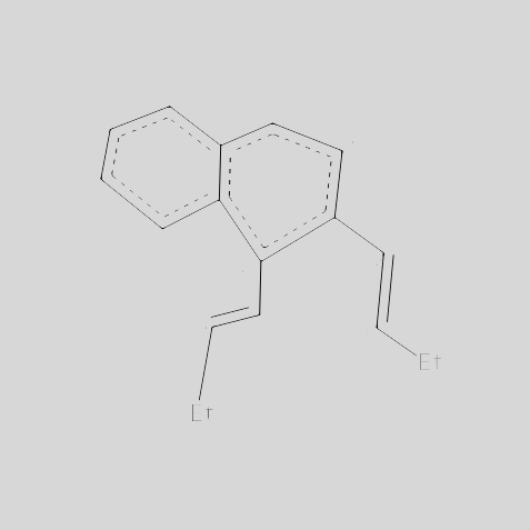 CCC=Cc1ccc2[c]cccc2c1C=CCC